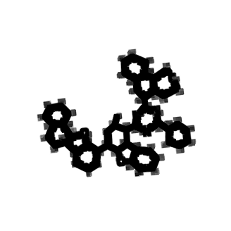 CC1C=C(c2cccc3c2oc2c4ccccc4ccc32)C2Oc3ccccc3C2C1c1nc(-c2ccccc2)nc(-c2cc3ccccc3c3ccccc23)n1